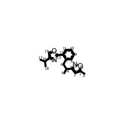 Cc1cc(C(C)Cc2ccccc2-c2nc(C(C)C)co2)no1